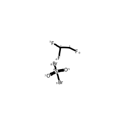 FCC(F)F.O=S(=O)(Br)Br